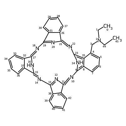 CCN([CH]c1cccc2c3nc4nc(nc5[nH]c(nc6nc(nc([nH]3)c12)-c1ccccc1-6)c1ccccc51)-c1ccccc1-4)CC